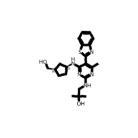 Cc1nc(NCC(C)(C)O)nc(N[C@H]2CC[C@@H](CO)C2)c1-c1nc2ccccc2s1